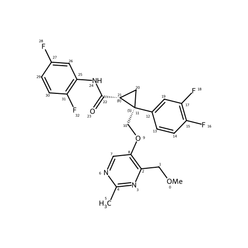 COCc1nc(C)ncc1OC[C@@]1(c2ccc(F)c(F)c2)C[C@H]1C(=O)Nc1cc(F)ccc1F